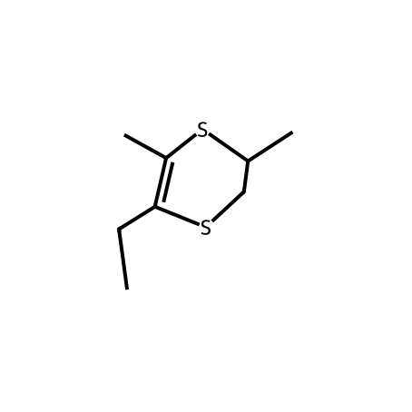 CCC1=C(C)SC(C)CS1